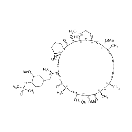 COC1CC(C[C@@H](C)[C@@H]2CC(=O)[C@H](C)C=C(C)[C@@H](O)[C@@H](OC)C(=O)[C@H](C)C[C@H](C)C=CC=CC=C(C)[C@@H](OC)C[C@@H]3CC[C@@H](C)[C@@](O)(O3)C(=O)C(=O)N3CCCC[C@H]3C(=O)O2)CCC1OP(C)(C)=O